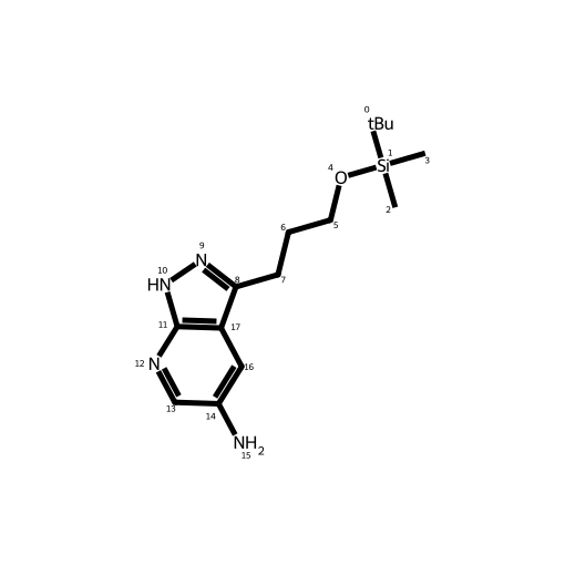 CC(C)(C)[Si](C)(C)OCCCc1n[nH]c2ncc(N)cc12